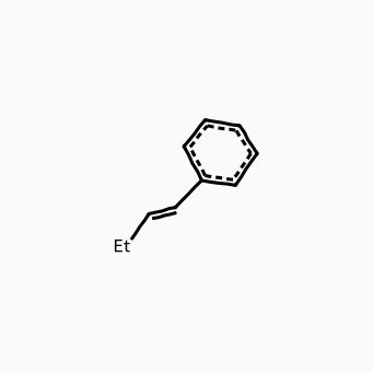 [CH2]CC=Cc1ccccc1